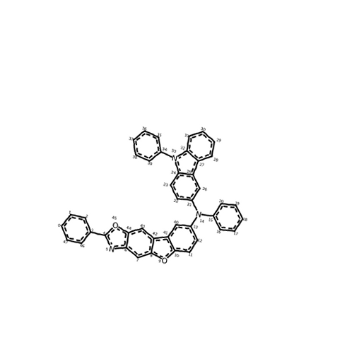 c1ccc(-c2nc3cc4oc5ccc(N(c6ccccc6)c6ccc7c(c6)c6ccccc6n7-c6ccccc6)cc5c4cc3o2)cc1